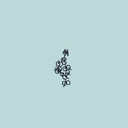 CCOC(=O)c1cc2cc(B3OC(C)(C)C(C)(CCc4c(C(=O)OCC)cc5cc(-c6ccn(C)n6)cn5c4C(C)=O)O3)cn2c(C(C)=O)c1C